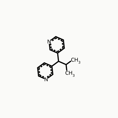 CC(C)C(c1cccnc1)c1cccnc1